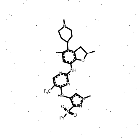 Cc1cc(Nc2ncc(C(F)(F)F)c(Nc3cn(C)nc3S(=O)(=O)C(C)C)n2)c2c(c1C1CCN(C)CC1)C[C@@H](C)O2